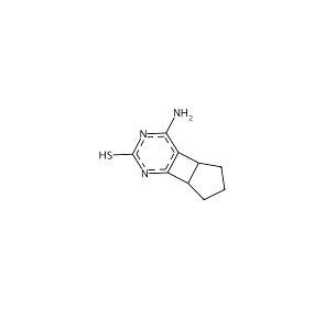 Nc1nc(S)nc2c1C1CCCC21